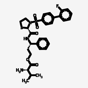 CC(C)[C@H](N)C(=O)OCC[C@H](NC(=O)[C@@H]1SCCN1S(=O)(=O)c1ccc(-c2ccccc2F)cc1)c1ccccc1